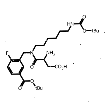 CC(C)(C)OC(=O)NCCCCCCN(Cc1cc(C(=O)OC(C)(C)C)ccc1F)C(=O)C(N)CC(=O)O